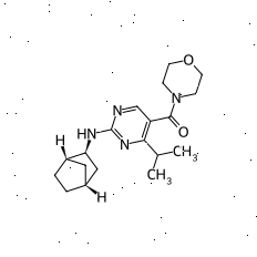 CC(C)c1nc(N[C@H]2C[C@@H]3CC[C@H]2C3)ncc1C(=O)N1CCOCC1